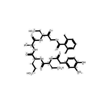 Cc1cccc(C)c1C(=O)OCC(=O)[C@H](CC(=O)O)NC(=O)[C@@H](NC(=O)[C@H](CCC(=O)O)NC(=O)[C@H](CC(=O)O)NC(=O)Cc1ccc(O)c([N+](=O)[O-])c1)C(C)C